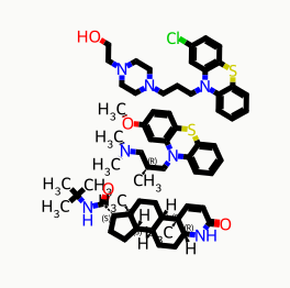 CC(C)(C)NC(=O)[C@H]1CC[C@H]2[C@@H]3CC[C@H]4NC(=O)C=C[C@]4(C)[C@H]3CC[C@]12C.COc1ccc2c(c1)N(C[C@H](C)CN(C)C)c1ccccc1S2.OCCN1CCN(CCCN2c3ccccc3Sc3ccc(Cl)cc32)CC1